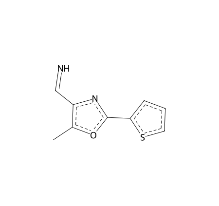 Cc1oc(-c2cccs2)nc1C=N